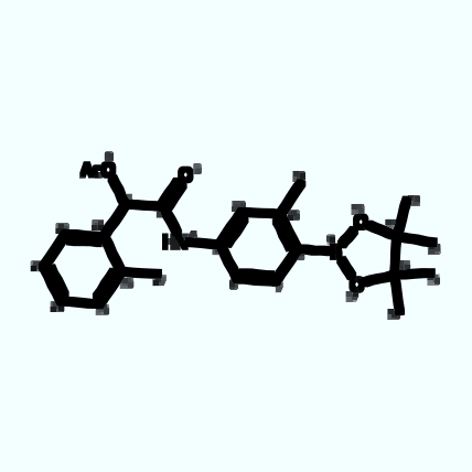 CC(=O)OC(C(=O)Nc1ccc(B2OC(C)(C)C(C)(C)O2)c(C)c1)c1ccccc1C